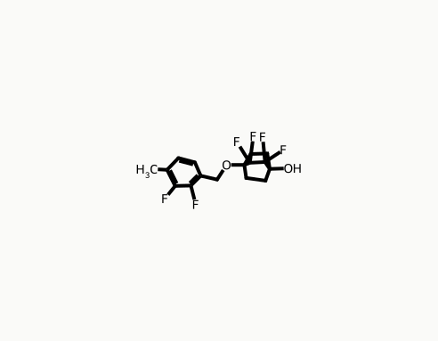 Cc1ccc(COC23CCC(O)(CC2)C(F)(F)C3(F)F)c(F)c1F